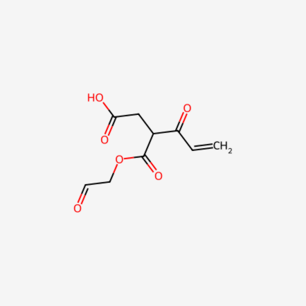 C=CC(=O)C(CC(=O)O)C(=O)OCC=O